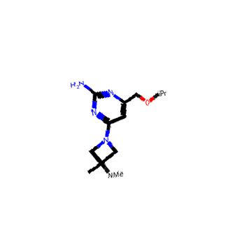 CNC1(C)CN(c2cc(COC(C)C)nc(N)n2)C1